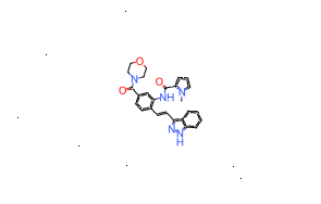 Cn1cccc1C(=O)Nc1cc(C(=O)N2CCOCC2)ccc1/C=C/c1n[nH]c2ccccc12